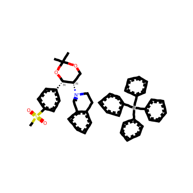 CC1(C)OC[C@H]([N+]2=Cc3ccccc3CC2)[C@H](c2ccc(S(C)(=O)=O)cc2)O1.c1ccc([B-](c2ccccc2)(c2ccccc2)c2ccccc2)cc1